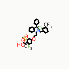 CC(O)(c1c(F)cc(OCCCN(Cc2cccc(C(F)(F)F)c2Cl)CC(c2ccccc2)c2ccccc2)cc1S(C)(=O)=O)C(F)(F)F